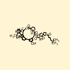 CCn1c(-c2cccnc2[C@H](C)OC)c2c3cc(ccc31)-c1cc(O)cc(c1)C[C@H](NC(=O)C(C(C)C)N1CC[C@]3(CCN(C(=O)/C=C/CN(C)C)C3)C1=O)C(=O)N1CCC[C@H](N1)C(=O)OCC(C)(C)C2